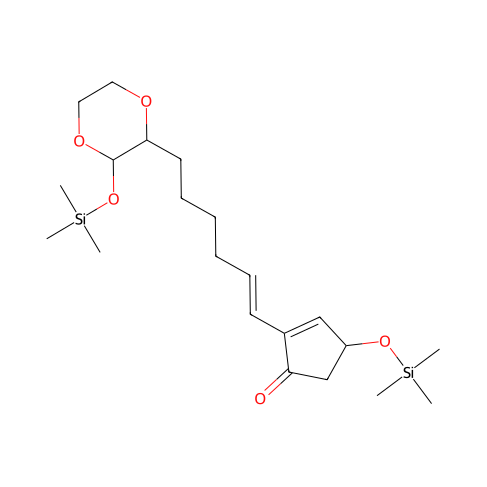 C[Si](C)(C)OC1C=C(C=CCCCCC2OCCOC2O[Si](C)(C)C)C(=O)C1